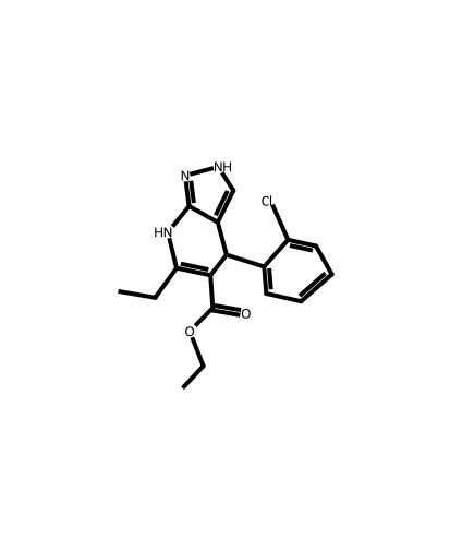 CCOC(=O)C1=C(CC)Nc2n[nH]cc2C1c1ccccc1Cl